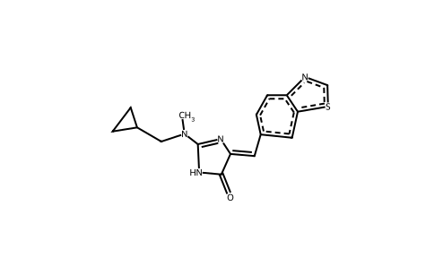 CN(CC1CC1)C1=NC(=Cc2ccc3ncsc3c2)C(=O)N1